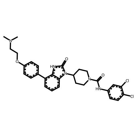 CN(C)CCOc1ccc(-c2cccc3c2[nH]c(=O)n3C2CCN(C(=O)Nc3ccc(Cl)c(Cl)c3)CC2)cc1